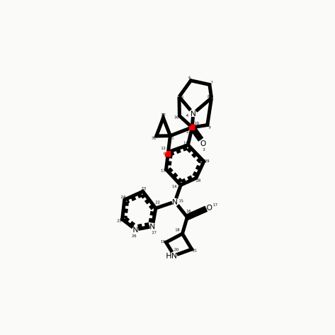 CC1(C(=O)N2C3CCC2CC(c2ccc(N(C(=O)C4CNC4)c4cccnn4)cc2)C3)CC1